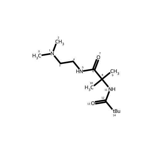 CN(C)CCNC(=O)C(C)(C)NC(=O)C(C)(C)C